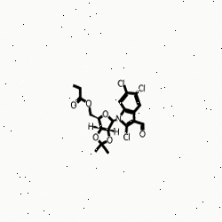 CCC(=O)OC[C@H]1O[C@@H](n2c(Cl)c(C=O)c3cc(Cl)c(Cl)cc32)[C@@H]2OC(C)(C)O[C@@H]21